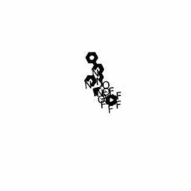 O=C([C@H]1CCN1S(=O)(=O)c1c(F)c(F)c(F)c(F)c1F)N(Cc1ccc(C2CCCCC2)cn1)c1cccnc1